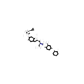 Cc1cc(Oc2ccccc2F)ccc1N/C(N)=C(\C=N)C(=O)c1cc2cc(F)c(NS(=O)(=O)NC3CC3)cc2[nH]1